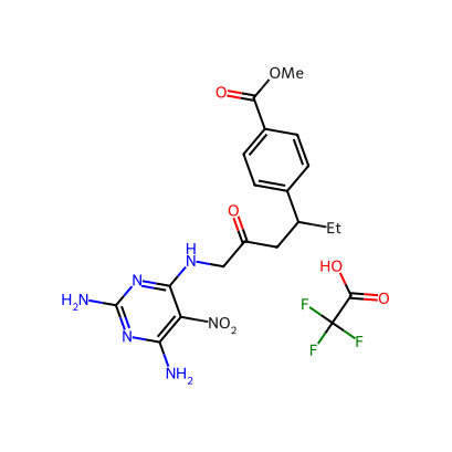 CCC(CC(=O)CNc1nc(N)nc(N)c1[N+](=O)[O-])c1ccc(C(=O)OC)cc1.O=C(O)C(F)(F)F